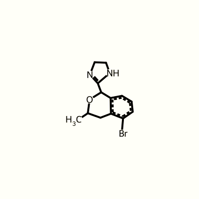 CC1Cc2c(Br)cccc2C(C2=NCCN2)O1